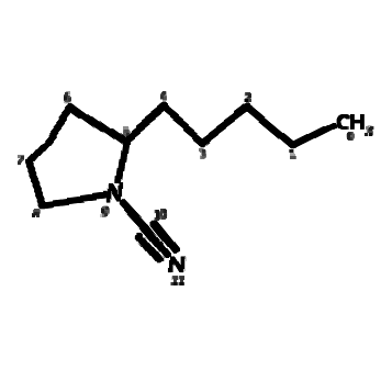 CCCCCC1CCCN1C#N